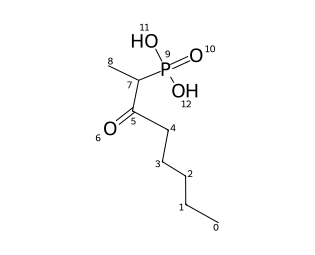 CCCCCC(=O)C(C)P(=O)(O)O